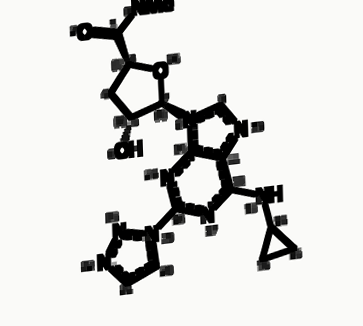 CNC(=O)[C@@H]1C[C@@H](O)[C@H](n2cnc3c(NC4CC4)nc(-n4ccnn4)nc32)O1